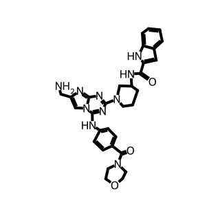 NCc1cn2c(Nc3ccc(C(=O)N4CCOCC4)cc3)nc(N3CCCC(NC(=O)c4cc5ccccc5[nH]4)C3)nc2n1